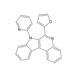 c1ccc(-n2c3ccccc3c3c4ccccc4nc(-c4ccco4)c32)nc1